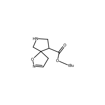 CC(C)(C)OC(=O)C1CNCC12CC=NO2